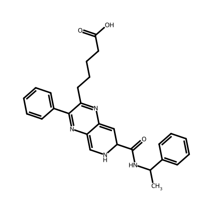 CC(NC(=O)C1C=c2nc(CCCCC(=O)O)c(-c3ccccc3)nc2=CN1)c1ccccc1